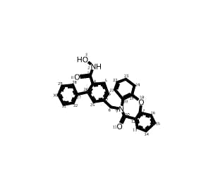 O=C(NO)c1ccc(CN2C(=O)c3ccccc3OC3=C2C=CCC3)cc1-c1ccccc1